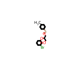 Cc1ccc(SOCC(CO)Oc2cccc(Br)c2)cc1